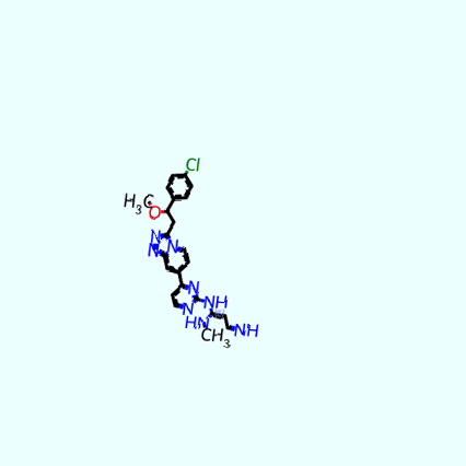 CN/C(=C\C=N)Nc1nccc(-c2ccn3c(CC(OC)c4ccc(Cl)cc4)nnc3c2)n1